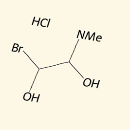 CNC(O)C(O)Br.Cl